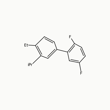 CCc1ccc(-c2cc(F)ccc2F)cc1C(C)C